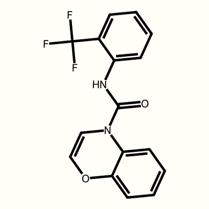 O=C(Nc1ccccc1C(F)(F)F)N1C=COc2ccccc21